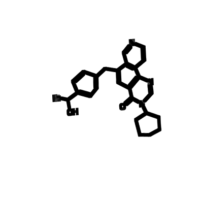 CCC(O)c1ccc(Cc2cc3c(=O)n(C4CCCCC4)cnc3c3ccncc23)cc1